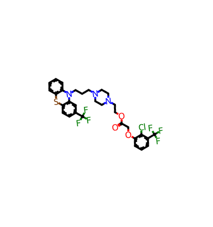 O=C(COc1cccc(C(F)(F)F)c1Cl)OCCN1CCN(CCCN2c3ccccc3Sc3ccc(C(F)(F)F)cc32)CC1